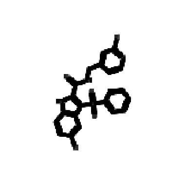 O=C(NCc1ccnc(Cl)c1)c1[nH]c2ccc(Cl)cc2c1S(=O)(=O)c1ccccc1